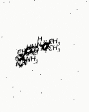 Cc1ccc(NC(=O)Nc2ccc(-c3c(C)sc4ncnc(N)c34)cc2Cl)cc1C